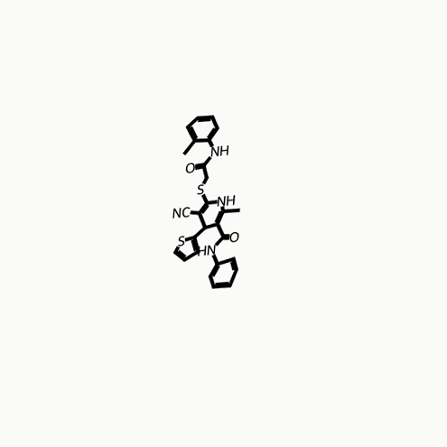 CC1=C(C(=O)Nc2ccccc2)C(c2cccs2)C(C#N)=C(SCC(=O)Nc2ccccc2C)N1